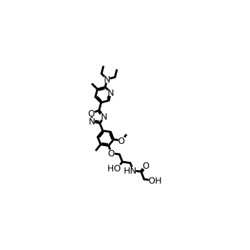 CCN(CC)c1ncc(-c2nc(-c3cc(C)c(OCC(O)CNC(=O)CO)c(OC)c3)no2)cc1C